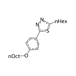 CCCCCCCCOc1ccc(-c2nnc(CCCCCC)s2)cc1